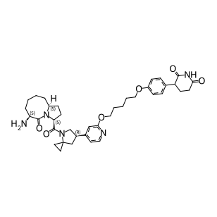 N[C@H]1CCCC[C@H]2CC[C@@H](C(=O)N3C[C@@H](c4ccnc(OCCCCCOc5ccc(C6CCC(=O)NC6=O)cc5)c4)CC34CC4)N2C1=O